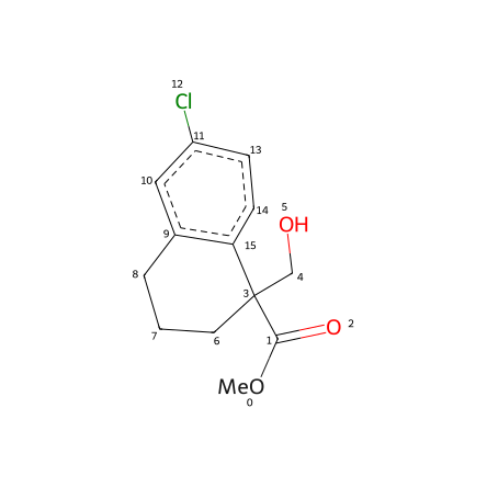 COC(=O)C1(CO)CCCc2cc(Cl)ccc21